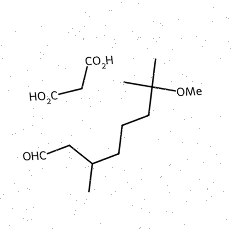 COC(C)(C)CCCC(C)CC=O.O=C(O)CC(=O)O